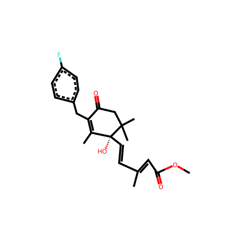 COC(=O)C=C(C)C=C[C@@]1(O)C(C)=C(Cc2ccc(F)cc2)C(=O)CC1(C)C